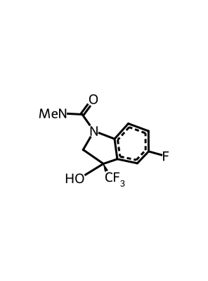 CNC(=O)N1C[C@](O)(C(F)(F)F)c2cc(F)ccc21